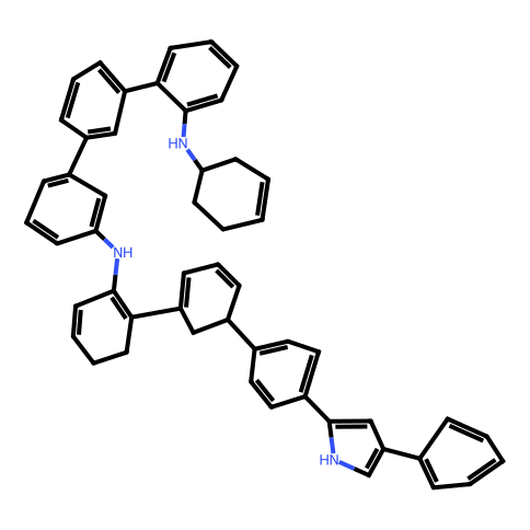 C1=CC(c2ccc(-c3cc(-c4ccccc4)c[nH]3)cc2)CC(C2=C(Nc3cccc(-c4cccc(-c5ccccc5NC5CC=CCC5)c4)c3)C=CCC2)=C1